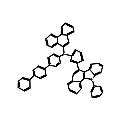 c1ccc(-c2ccc(-c3ccc(N(c4cccc(-c5cc6ccccc6c6c5c5ccccc5n6-c5ccccc5)c4)c4cc5ccccc5c5ccccc45)cc3)cc2)cc1